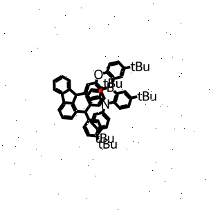 CC(C)(C)c1ccc(C(c2ccc(C(C)(C)C)cc2)c2cccc3c2C(c2cc4c5c(c2)N(c2ccc(C(C)(C)C)cc2)c2ccc(C(C)(C)C)cc2B5c2cc(C(C)(C)C)ccc2O4)c2ccccc2-3)cc1